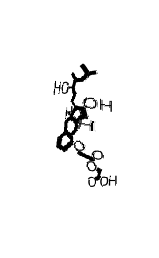 CC(C)CC(C)[C@H](O)CC[C@@H]1[C@H]2Cc3cccc(OCC(=O)OCC(=O)O)c3C[C@H]2C[C@H]1O